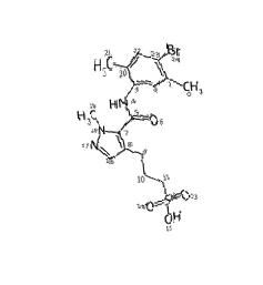 Cc1cc(NC(=O)c2c(CCCS(=O)(=O)O)cnn2C)c(C)cc1Br